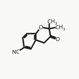 CC1(C)Oc2ccc(C#N)cc2CC1=O